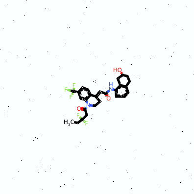 CCC(F)(F)CC(=O)N1CCC(=CC(=O)Nc2cccc3c2CC(O)CC3)c2ccc(C(F)(F)F)cc21